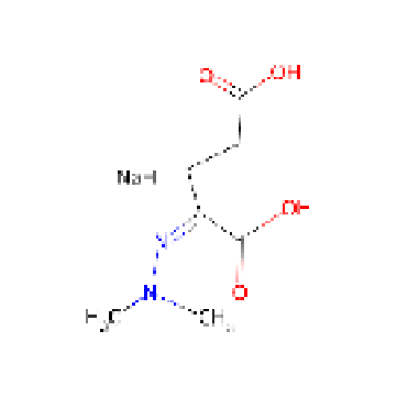 CN(C)N=C(CCC(=O)O)C(=O)O.[NaH]